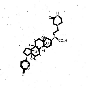 C[C@]12CC[C@H](N(CCN3CCNC(=O)C3)C(=O)O)C[C@@]1(O)CC[C@@H]1[C@@H]2CC[C@]2(C)[C@@H](c3ccc(=O)oc3)CC[C@]12O